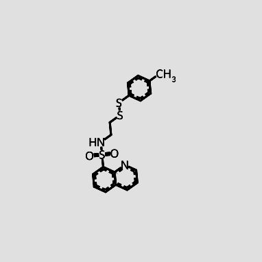 Cc1ccc(SSCCNS(=O)(=O)c2cccc3cccnc23)cc1